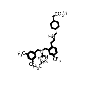 Cn1nnc(N(Cc2cc(C(F)(F)F)cc(C(F)(F)F)c2)Cc2cc(C(F)(F)F)ccc2CCNC[C@H]2CC[C@H](CC(=O)O)CC2)n1